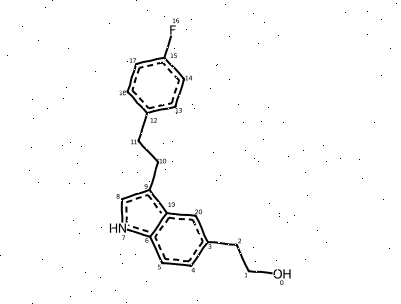 OCCc1ccc2[nH]cc([CH]Cc3ccc(F)cc3)c2c1